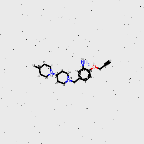 C#CCOc1ccc(CN2CCC(N3CCC(C)CC3)CC2)cc1N